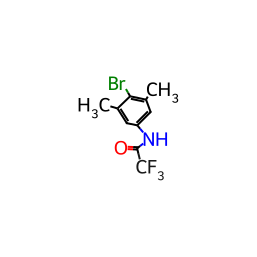 Cc1cc(NC(=O)C(F)(F)F)cc(C)c1Br